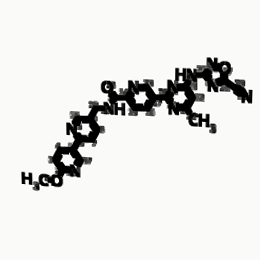 COc1ccc(-c2ccc(CNC(=O)c3ccc(-c4nc(C)cc(Nc5noc(C#N)n5)n4)cn3)cn2)cn1